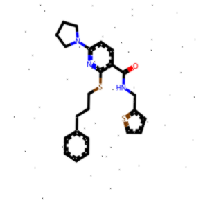 O=C(NCc1cccs1)c1ccc(N2CCCC2)nc1SCCCc1ccccc1